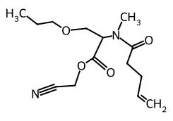 C=CCCC(=O)N(C)C(COCCC)C(=O)OCC#N